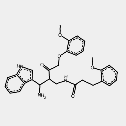 COc1ccccc1CCC(=O)NCC(C(=O)COc1ccccc1OC)C(N)c1c[nH]c2ccccc12